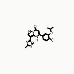 Cc1noc(-c2cnn3c(=O)cc(-c4ccc(Cl)c(OC(C)C)c4)[nH]c23)n1